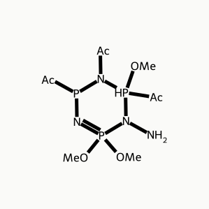 COP1(OC)=NP(C(C)=O)N(C(C)=O)[PH](OC)(C(C)=O)N1N